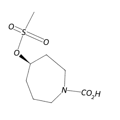 CS(=O)(=O)O[C@@H]1CCCN(C(=O)O)CC1